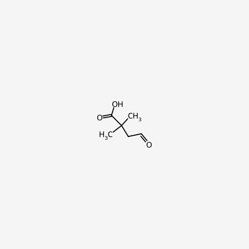 CC(C)(CC=O)C(=O)O